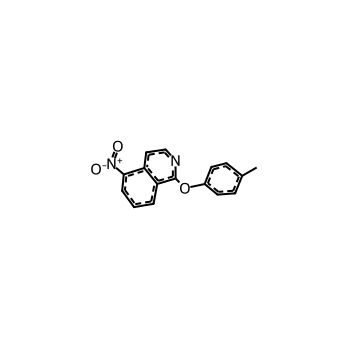 Cc1ccc(Oc2nccc3c([N+](=O)[O-])cccc23)cc1